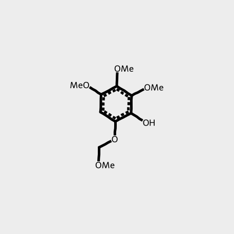 COCOc1cc(OC)c(OC)c(OC)c1O